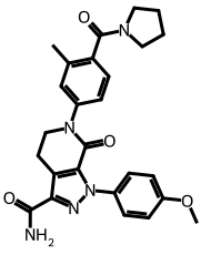 COc1ccc(-n2nc(C(N)=O)c3c2C(=O)N(c2ccc(C(=O)N4CCCC4)c(C)c2)CC3)cc1